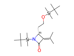 CC(C)=C1C(=O)N([Si](C)(C)C(C)(C)C)[C@@H]1CCO[Si](C)(C)C(C)(C)C